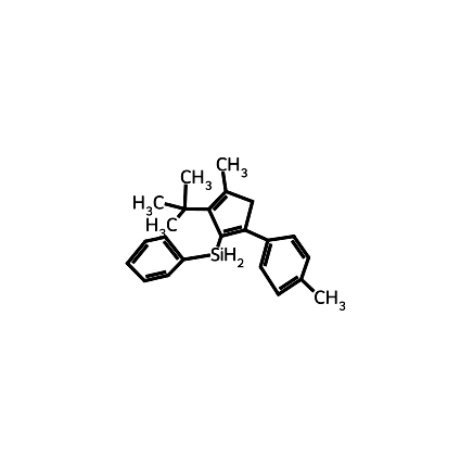 CC1=C(C(C)(C)C)C([SiH2]c2ccccc2)=C(c2ccc(C)cc2)C1